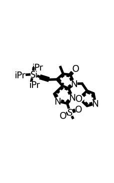 Cc1c(C#C[Si](C(C)C)(C(C)C)C(C)C)c2cnc(S(C)(=O)=O)nc2n(Cc2cnco2)c1=O